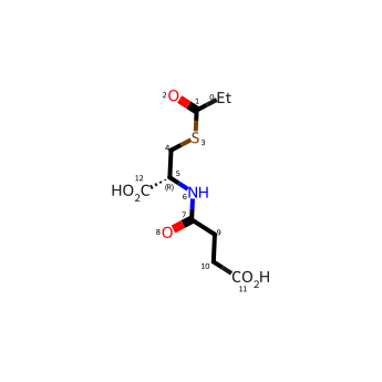 CCC(=O)SC[C@H](NC(=O)CCC(=O)O)C(=O)O